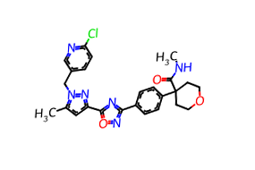 CNC(=O)C1(c2ccc(-c3noc(-c4cc(C)n(Cc5ccc(Cl)nc5)n4)n3)cc2)CCOCC1